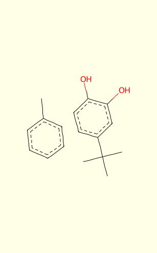 CC(C)(C)c1ccc(O)c(O)c1.Cc1ccccc1